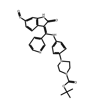 CC(C)(C)OC(=O)N1CCN(c2ccc(N/C(=C3\C(=O)Nc4cc(N=O)ccc43)c3cccnc3)cc2)CC1